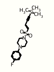 C[Si](C)(C)C#CC=CS(=O)(=O)N1CCN(c2ccc(F)cc2)CC1